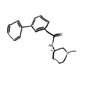 CN1CCC[C@@H](NC(=O)c2cccc(-c3ccccc3)c2)C1